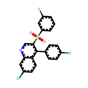 O=S(=O)(c1cccc(F)c1)c1cnc2cc(Cl)ccc2c1-c1ccc(Cl)cc1